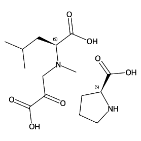 CC(C)C[C@@H](C(=O)O)N(C)CC(=O)C(=O)O.O=C(O)[C@@H]1CCCN1